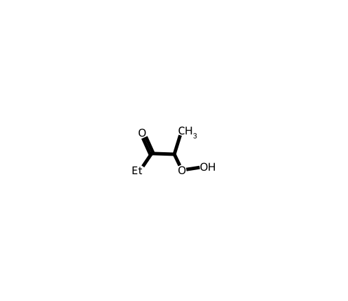 CCC(=O)C(C)OO